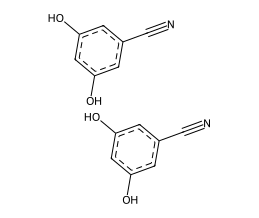 N#Cc1cc(O)cc(O)c1.N#Cc1cc(O)cc(O)c1